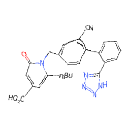 CCCCc1cc(C(=O)O)cc(=O)n1Cc1ccc(-c2ccccc2-c2nnn[nH]2)c(C#N)c1